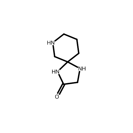 O=C1CNC2(CCCNC2)N1